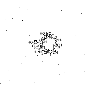 CC(O)[C@@H]1NC(=O)[C@H](N)C[C@@H](O)[C@@H](O)NC(=O)[C@@H]2[C@@H](O)[C@@H](C)CN2C(=O)[C@H](C(O)CC(N)=O)NC(=O)[C@H](C(O)C(O)c2ccc(O)c(OS(=O)(=O)O)c2)NC(=O)[C@@H]2C[C@@H](O)CN2C1=O